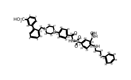 O=C(O)c1cccc(-c2ccccc2CN2CCN(c3ccc(C(=O)NS(=O)(=O)c4ccc(NCCSc5ccccc5)c(NO)c4)cc3)CC2)c1